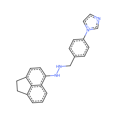 c1cc2c3c(ccc(NNCc4ccc(-n5ccnc5)cc4)c3c1)CC2